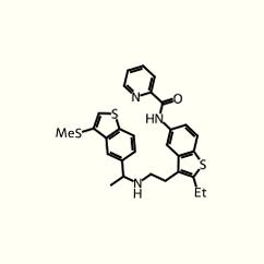 CCc1sc2ccc(NC(=O)c3ccccn3)cc2c1CCNC(C)c1ccc2scc(SC)c2c1